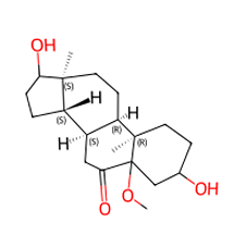 COC12CC(O)CC[C@]1(C)[C@@H]1CC[C@]3(C)C(O)CC[C@H]3[C@@H]1CC2=O